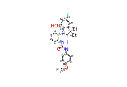 CCC1(CC)CN(c2ccccc2NC(=O)Nc2ccc(OC(F)(F)F)cc2)c2c(O)cc(F)cc21